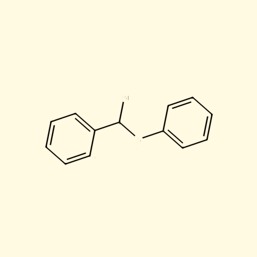 Br[C](Sc1ccccc1)c1ccccc1